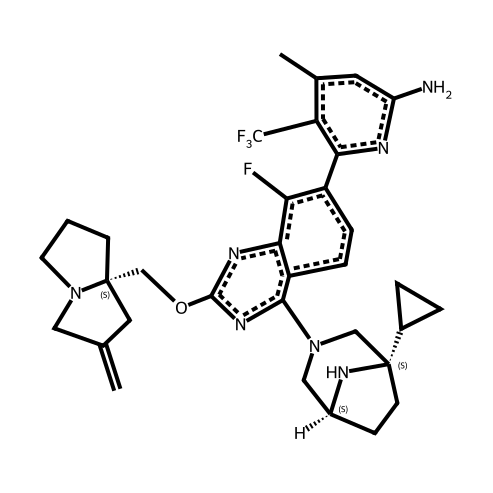 C=C1CN2CCC[C@@]2(COc2nc(N3C[C@@H]4CC[C@](C5CC5)(C3)N4)c3ccc(-c4nc(N)cc(C)c4C(F)(F)F)c(F)c3n2)C1